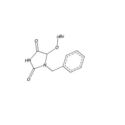 CCCCOC1C(=O)NC(=O)N1Cc1ccccc1